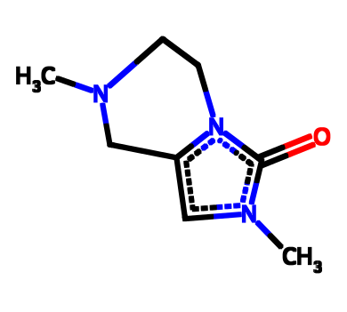 CN1CCn2c(cn(C)c2=O)C1